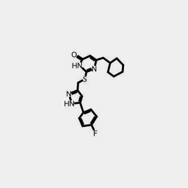 O=c1cc(CC2CCCCC2)nc(SCc2cc(-c3ccc(F)cc3)[nH]n2)[nH]1